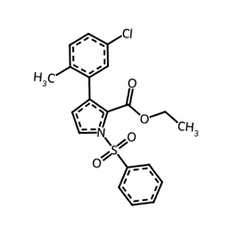 CCOC(=O)c1c(-c2cc(Cl)ccc2C)ccn1S(=O)(=O)c1ccccc1